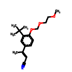 COCCOCOc1ccc(C(C)=CC#N)cc1C(C)(C)C